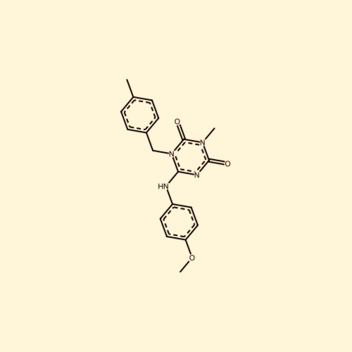 COc1ccc(Nc2nc(=O)n(C)c(=O)n2Cc2ccc(C)cc2)cc1